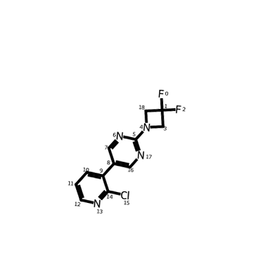 FC1(F)CN(c2ncc(-c3cccnc3Cl)cn2)C1